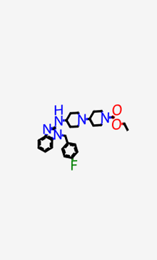 CCOC(=O)N1CCC(N2CCC(Nc3nc4ccccc4n3Cc3ccc(F)cc3)CC2)CC1